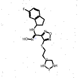 O/N=C(\NC1CCc2ccc(F)cc21)c1nonc1SCC[C@H]1CNSN1